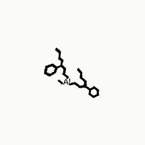 CCCCC(CC[CH2][Al]([CH2]C)[CH2]CCC(CCCC)C1CCCCC1)C1CCCCC1